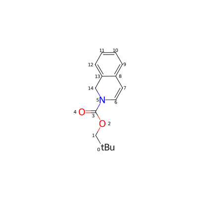 CC(C)(C)COC(=O)N1C=Cc2ccccc2C1